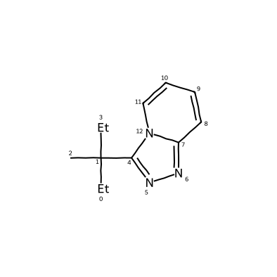 CCC(C)(CC)c1nnc2ccccn12